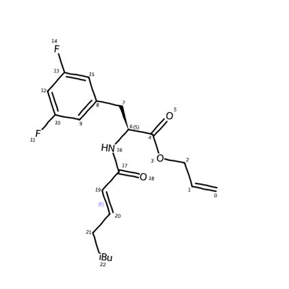 C=CCOC(=O)[C@H](Cc1cc(F)cc(F)c1)NC(=O)/C=C/CC(C)CC